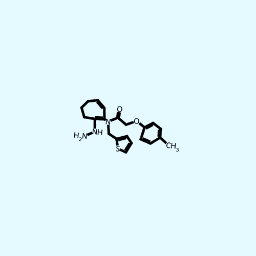 Cc1ccc(OCC(=O)N(Cc2cccs2)C2=C(NN)CCCC=C2)cc1